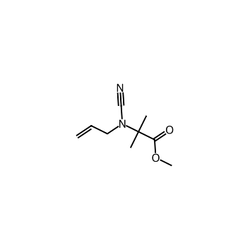 C=CCN(C#N)C(C)(C)C(=O)OC